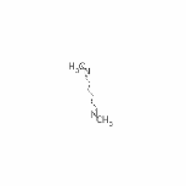 C/N=C/CCCC/C=N/C